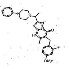 COc1ccc(Cc2c(C)[nH]c3nc(C(C)N4CCN(c5ccccc5)CC4)nn3c2=O)c(F)c1